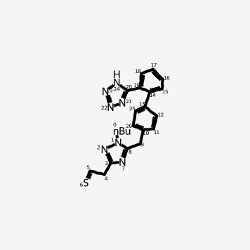 CCCCn1nc(CC=S)nc1Cc1ccc(-c2ccccc2-c2nnn[nH]2)cc1